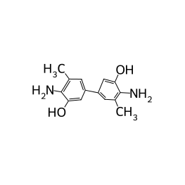 Cc1cc(-c2cc(C)c(N)c(O)c2)cc(O)c1N